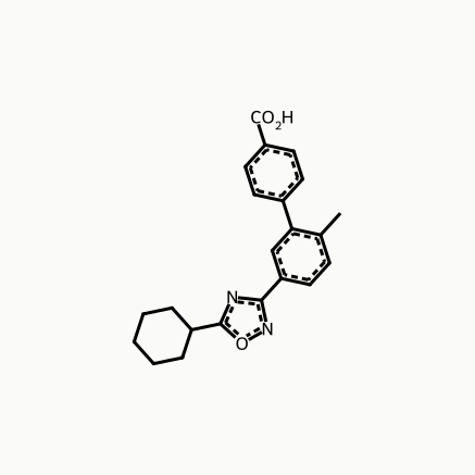 Cc1ccc(-c2noc(C3CCCCC3)n2)cc1-c1ccc(C(=O)O)cc1